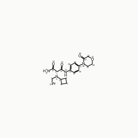 CC(C)CN(C1CCC1)[C@H](C(N)=O)C(=O)Nc1ccc(N2CCOCC2=O)cc1